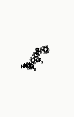 N=C(N)NC(=O)c1ccc(C2CCN(C(=O)CCc3ccccc3)CC2)c(C(F)(F)F)c1